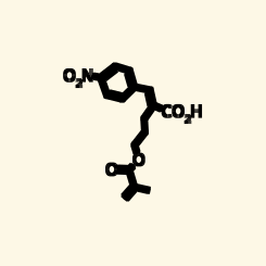 C=C(C)C(=O)OCCCC(=Cc1ccc([N+](=O)[O-])cc1)C(=O)O